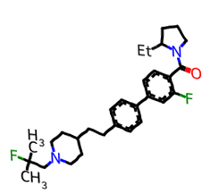 CCC1CCCN1C(=O)c1ccc(-c2ccc(CCC3CCN(CC(C)(C)F)CC3)cc2)cc1F